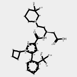 O=C(O)C[C@H](CCN1CCCC(F)(F)C1)NC(=O)c1cc(-c2ccccc2C(F)(F)F)n(C2CCC2)n1